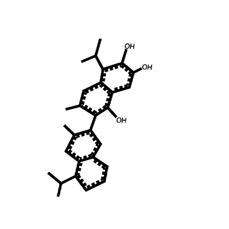 Cc1cc2c(C(C)C)cccc2cc1-c1c(C)cc2c(C(C)C)c(O)c(O)cc2c1O